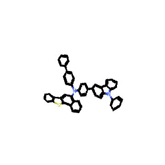 c1ccc(-c2ccc(N(c3ccc(-c4ccc5c(c4)c4ccccc4n5-c4ccccc4)cc3)c3cc4c5ccccc5sc4c4ccccc34)cc2)cc1